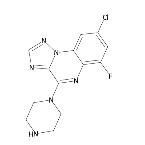 Fc1cc(Cl)cc2c1nc(N1CCNCC1)c1ncnn12